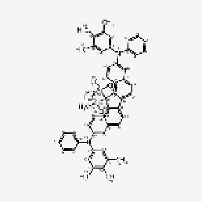 Cc1cc(N(c2ccccc2)c2ccc3c4c(ccc3c2)-c2ccc3cc(N(c5ccccc5)c5cc(C)c(C)c(C)c5)ccc3c2C4([Si](C)(C)C)[Si](C)(C)C)cc(C)c1C